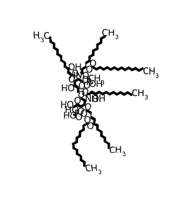 CCCCCCCCCCCCCCCC(=O)O[C@H](CCCCCCCCCCC)CC(=O)N[C@@H]1C(OP(C)(=O)O)OC(CO[C@@H]2OC(CO)C(OP(=O)(O)O)C(OC(=O)C[C@@H](CCCCCCCCCCC)OC(=O)CCCCCCCCCCCCCCC)[C@@H]2NC(=O)C[C@H](O)CCCCCCCCCCC)[C@@H](O)C1OC(=O)C[C@H](O)CCCCCCCCCCC